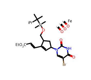 CCOC(=O)C=CC1=CC(n2cc(Br)c(=O)[nH]c2=O)CC1CO[Si](C)(C)C(C)(C)C(C)C.[C]=O.[C]=O.[C]=O.[Fe]